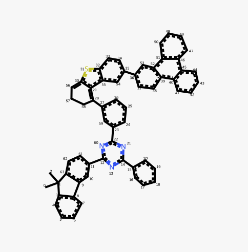 CC1(C)c2ccccc2-c2cc(-c3nc(-c4ccccc4)nc(-c4cccc(C5=c6c(sc7ccc(-c8ccc9c%10ccccc%10c%10ccccc%10c9c8)cc67)=CCC5)c4)n3)ccc21